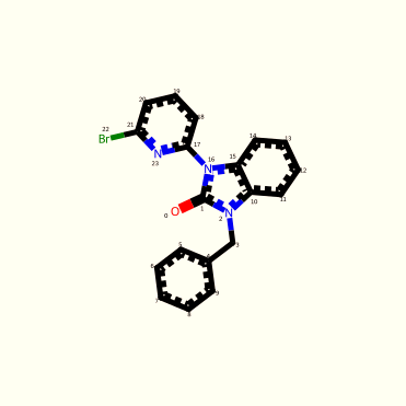 O=c1n(Cc2ccccc2)c2ccccc2n1-c1cccc(Br)n1